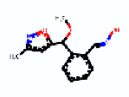 COC(c1cc(C)no1)c1ccccc1C=NO